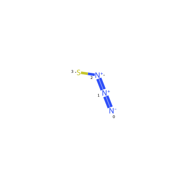 [N-]=[N+]=[N+][S]